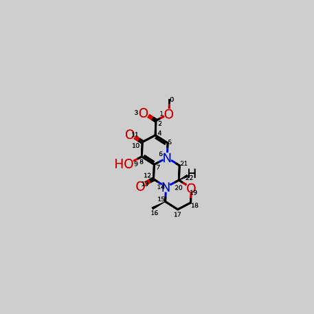 COC(=O)c1cn2c(c(O)c1=O)C(=O)N1[C@H](C)CCO[C@H]1C2